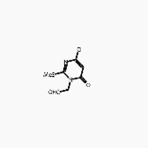 CSc1nc(Cl)cc(=O)n1CC=O